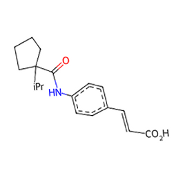 CC(C)C1(C(=O)Nc2ccc(/C=C/C(=O)O)cc2)CCCC1